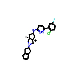 Fc1ccc(Cl)c(-c2ccc(NC3C[C@@H]4CN(C5Cc6ccccc6C5)C[C@@H]4C3)nn2)c1